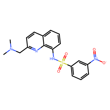 CN(C)Cc1ccc2cccc(NS(=O)(=O)c3cccc([N+](=O)[O-])c3)c2n1